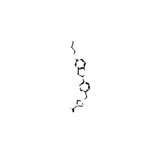 CCCCOc1ccc2c(c1)CC(c1ccc(CN3CC(C(=O)O)C3)cc1)O2